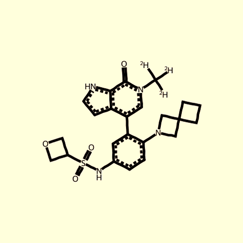 [2H]C([2H])([2H])n1cc(-c2cc(NS(=O)(=O)C3COC3)ccc2N2CC3(CCC3)C2)c2cc[nH]c2c1=O